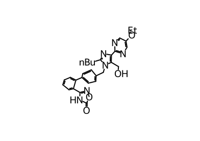 CCCCc1nc(-c2ncc(OCC)cn2)c(CO)n1Cc1ccc(-c2ccccc2-c2noc(=O)[nH]2)cc1